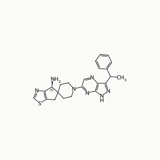 CC(c1ccccc1)c1n[nH]c2nc(N3CCC4(CC3)Cc3scnc3[C@H]4N)cnc12